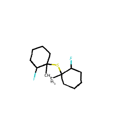 CC1(SC2(C)CCCCC2F)CCCCC1F